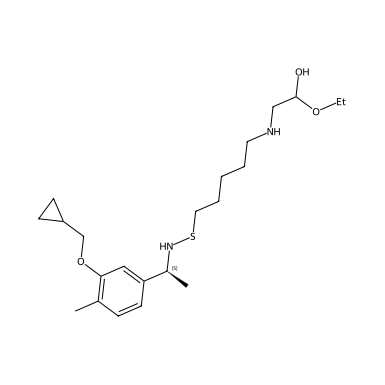 CCOC(O)CNCCCCCSN[C@@H](C)c1ccc(C)c(OCC2CC2)c1